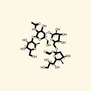 CC(=O)NC1C(O)[C@H](O[C@@H]2OC(CO[C@]3(OC=O)C[C@@H](O)[C@@H](C)C([C@H](O)[C@H](O)CO)O3)[C@H](O)C(O)[C@@H]2O)[C@H](CO)O[C@H]1OC1[C@@H](O)[C@H](O)C(CO)O[C@@H]1C